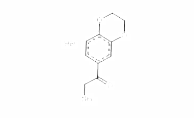 Br.NCC(=O)c1ccc2c(c1)OCCO2